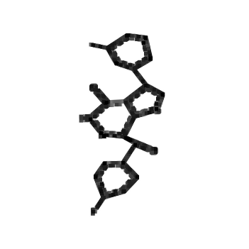 Cc1cccc(-c2csc3c(C(=O)c4ccc(F)cc4)n[nH]c(=O)c23)c1